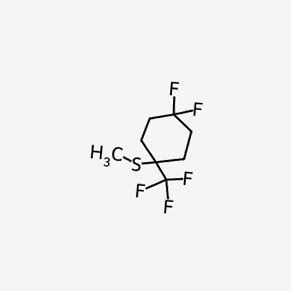 CSC1(C(F)(F)F)CCC(F)(F)CC1